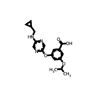 CC(C)Oc1cc(Oc2cnc(NCC3CC3)cn2)cc(C(=O)O)c1